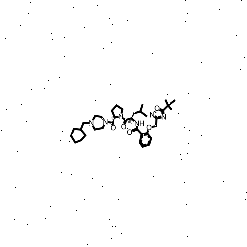 CC(C)C[C@@H](NC(=O)c1ccccc1OCc1noc(C(C)(C)C)n1)C(=O)N1CCC[C@@H]1C(=O)N1CCN(CC2CCCCC2)CC1